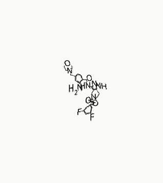 Nc1cc(CN2CCOCC2)ccc1C(=O)Nc1n[nH]c2c1CN(S(=O)(=O)c1cc(F)cc(F)c1)CC2